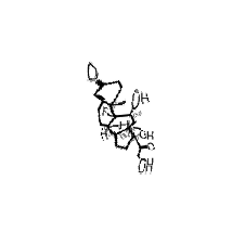 C[C@]12CCC(=O)C=C1CC[C@H]1[C@@H]3CC[C@](O)(C(=O)CO)[C@@]3(C)C[C@H](O)C12F